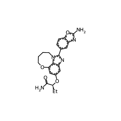 CC[C@H](Oc1cc2c3c(c1)nc(-c1ccc4oc(N)nc4c1)n3CCCCO2)C(N)=O